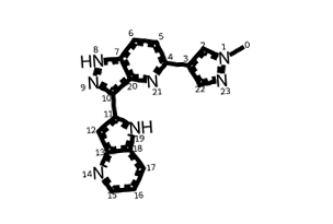 Cn1cc(-c2ccc3[nH]nc(-c4cc5ncccc5[nH]4)c3n2)cn1